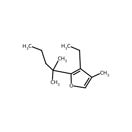 CCCC(C)(C)c1occ(C)c1CC